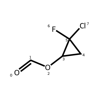 O=COC1CC1(F)Cl